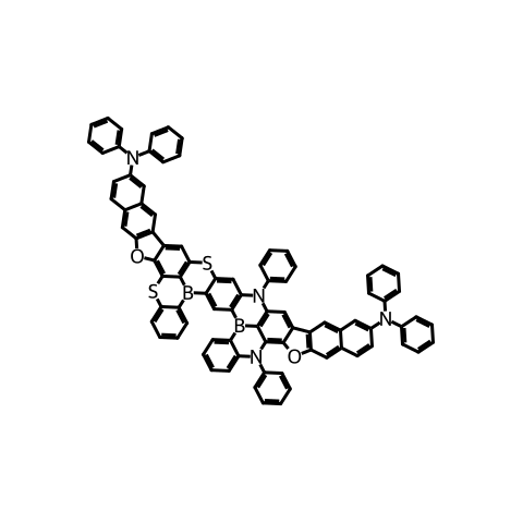 c1ccc(N(c2ccccc2)c2ccc3cc4oc5c6c7c(cc5c4cc3c2)Sc2cc3c(cc2B7c2ccccc2S6)B2c4ccccc4N(c4ccccc4)c4c2c(cc2c4oc4cc5ccc(N(c6ccccc6)c6ccccc6)cc5cc42)N3c2ccccc2)cc1